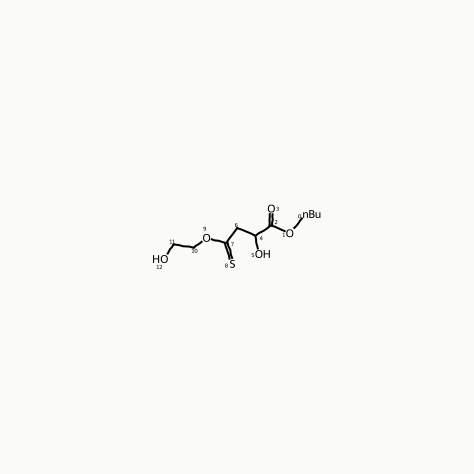 CCCCOC(=O)C(O)CC(=S)OCCO